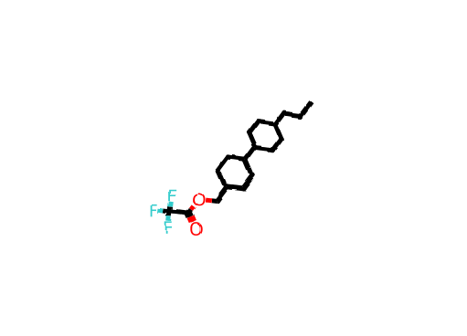 CCCC1CCC(C2CCC(COC(=O)C(F)(F)F)CC2)CC1